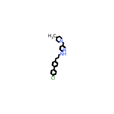 CC1CCN(Cc2ccc(NCCCc3ccc(-c4ccc(Cl)cc4)cc3)nc2)CC1